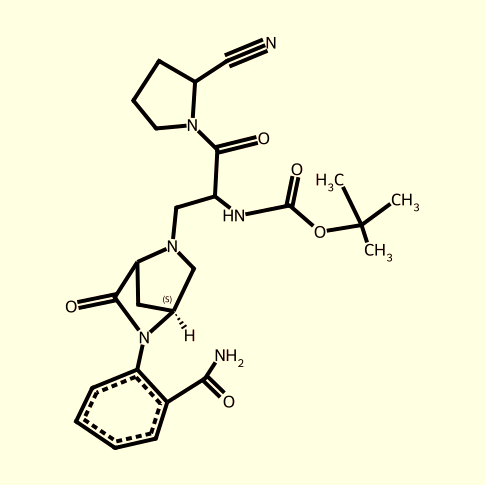 CC(C)(C)OC(=O)NC(CN1C[C@@H]2CC1C(=O)N2c1ccccc1C(N)=O)C(=O)N1CCCC1C#N